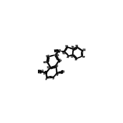 CCn1ccc(=O)c2nc(NC3Cc4ccccc4C3)ccc21